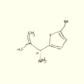 C=C(C)[C@@H](N)c1ccc(Br)s1